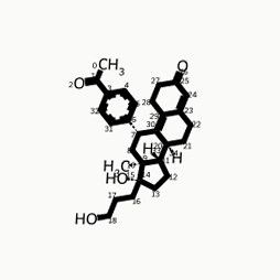 CC(=O)c1ccc([C@H]2C[C@@]3(C)[C@@H](CC[C@@]3(O)CCCO)[C@@H]3CCC4=CC(=O)CCC4=C32)cc1